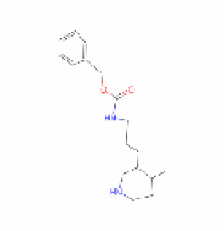 CC1CCNCC1CCCNC(=O)OCc1ccccc1